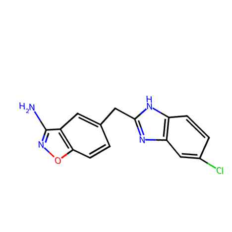 Nc1noc2ccc(Cc3nc4cc(Cl)ccc4[nH]3)cc12